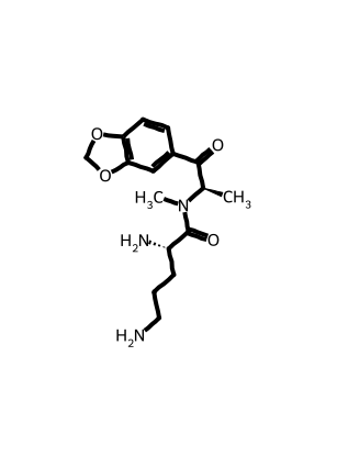 C[C@H](C(=O)c1ccc2c(c1)OCO2)N(C)C(=O)[C@@H](N)CCCN